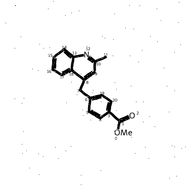 COC(=O)c1ccc(Cc2cc(C)nc3ccccc23)cc1